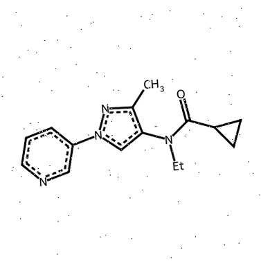 CCN(C(=O)C1CC1)c1cn(-c2cccnc2)nc1C